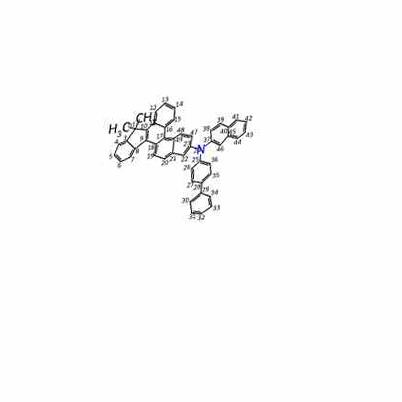 CC1(C)c2ccccc2-c2c1c1ccccc1c1c2ccc2cc(N(c3ccc(-c4ccccc4)cc3)c3ccc4ccccc4c3)ccc21